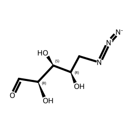 [N-]=[N+]=NC[C@@H](O)[C@H](O)[C@@H](O)C=O